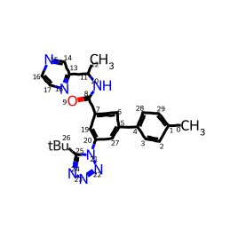 Cc1ccc(-c2cc(C(=O)NC(C)c3cnccn3)cc(-n3nnnc3C(C)(C)C)c2)cc1